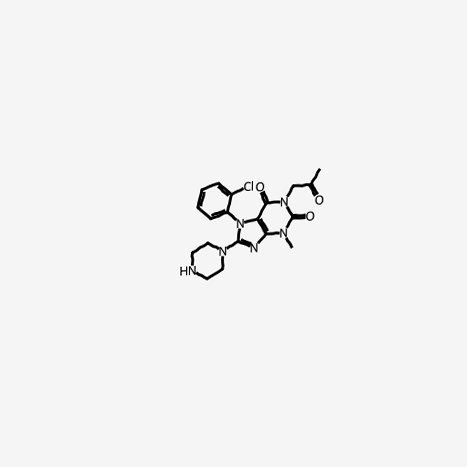 CC(=O)Cn1c(=O)c2c(nc(N3CCNCC3)n2-c2ccccc2Cl)n(C)c1=O